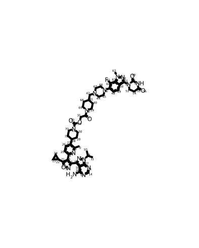 Cc1nc(-c2c(-c3nn(C(C)C)c4ncnc(N)c34)noc2C2CC2)ccc1C1CCN(C(=O)OCC(=O)N2CCC(CN3CCN(c4ccc5c(N6CCC(=O)NC6=O)nn(C)c5c4F)CC3)CC2)CC1